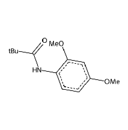 COc1ccc(NC(=O)C(C)(C)C)c(OC)c1